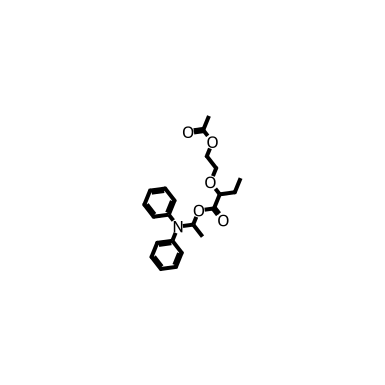 CCC(OCCOC(C)=O)C(=O)OC(C)N(c1ccccc1)c1ccccc1